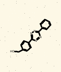 OCc1ccc(-c2nnc(-c3ccccc3)nn2)cc1